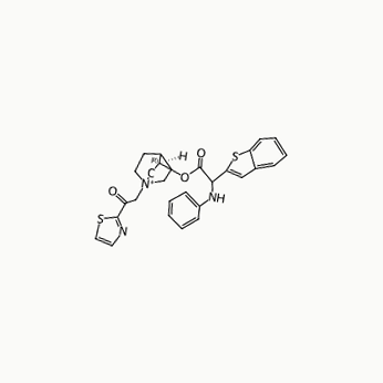 O=C(C[N+]12CCC(CC1)[C@@H](OC(=O)C(Nc1ccccc1)c1cc3ccccc3s1)C2)c1nccs1